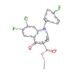 CCOC(=O)c1cn(-c2ccc(F)cc2)c2cc(Cl)c(F)cc2c1=O